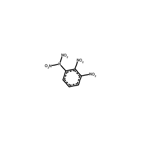 O=[N+]([O-])c1cccc(N([N+](=O)[O-])[N+](=O)[O-])c1[N+](=O)[O-]